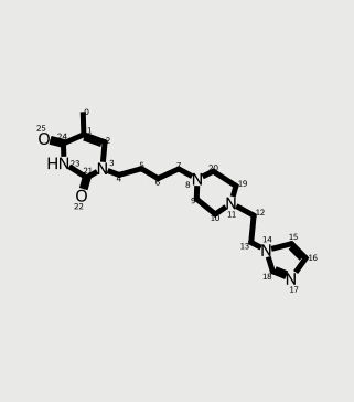 Cc1cn(CCCCN2CCN(CCn3ccnc3)CC2)c(=O)[nH]c1=O